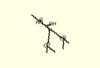 CCCCCCCC(=O)NCCCCN(CCO)CCN(CCCCCCCCCOC(=O)C(CCCC)CCCCCC)CCCCCCCCCOC(=O)C(CCCC)CCCCCC